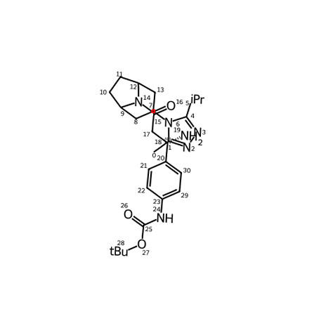 Cc1nnc(C(C)C)n1C1CC2CCC(C1)N2C(=O)C[C@H](N)c1ccc(NC(=O)OC(C)(C)C)cc1